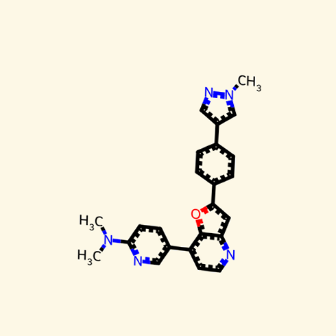 CN(C)c1ccc(-c2ccnc3cc(-c4ccc(-c5cnn(C)c5)cc4)oc23)cn1